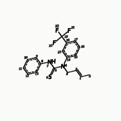 CC=CCN(C(=S)Nc1ccccc1)c1cccc(C(F)(F)F)c1